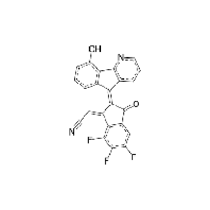 N#C/C=C1/C(=C2/c3cccnc3-c3c(O)cccc32)C(=O)c2cc(F)c(F)c(F)c21